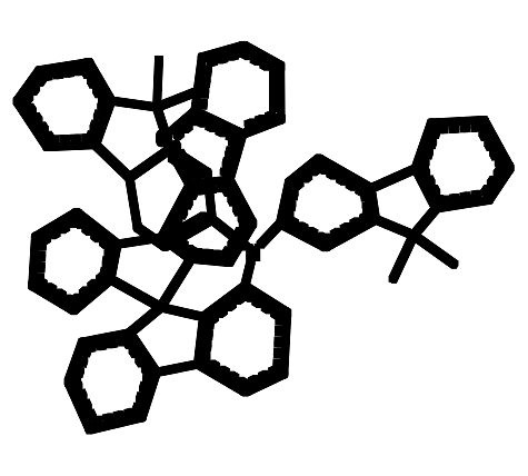 CC1(C)C2=CC(N(c3ccc4c(c3)C(C)(C)c3ccccc3-4)c3cccc4c3C3(c5ccccc5-4)c4ccccc4-c4c3ccc3c4oc4ccccc43)=CCC2c2ccccc21